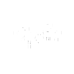 CC(N)C(=O)CC(N)C(=O)N1CCCC1C(=O)NC(C(=O)C(F)(F)F)C(C)C